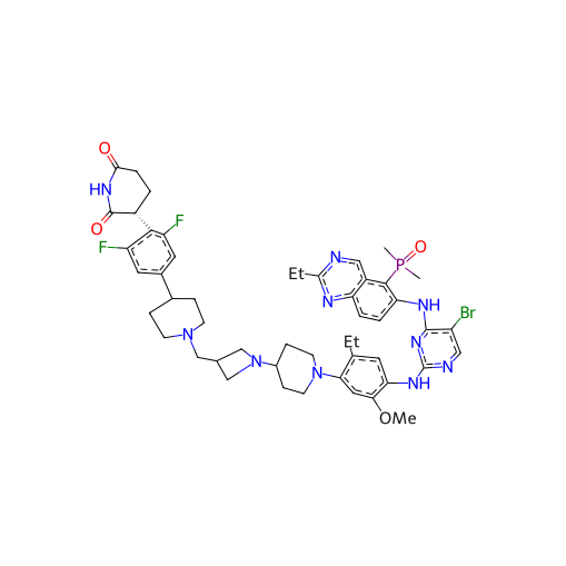 CCc1ncc2c(P(C)(C)=O)c(Nc3nc(Nc4cc(CC)c(N5CCC(N6CC(CN7CCC(c8cc(F)c([C@H]9CCC(=O)NC9=O)c(F)c8)CC7)C6)CC5)cc4OC)ncc3Br)ccc2n1